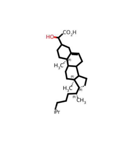 CC(C)CCC[C@@H](C)[C@H]1CCC2C3CC=C4CC(C(O)C(=O)O)CC[C@]4(C)C3CC[C@@]21C